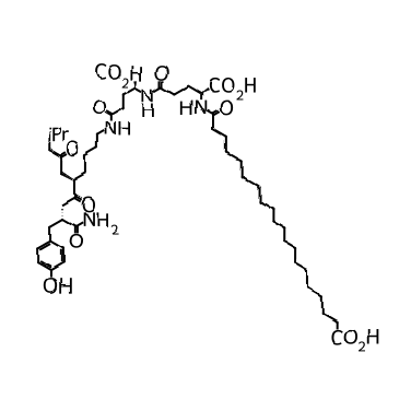 CC(C)CC(=O)C[C@@H](CCCCNC(=O)CC[C@H](NC(=O)CC[C@H](NC(=O)CCCCCCCCCCCCCCCCCCC(=O)O)C(=O)O)C(=O)O)C(=O)C[C@@H](Cc1ccc(O)cc1)C(N)=O